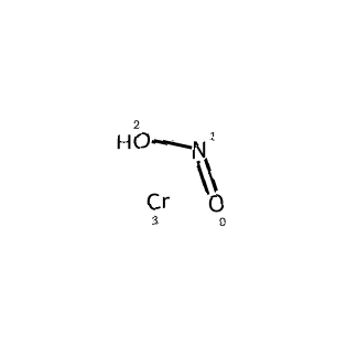 O=NO.[Cr]